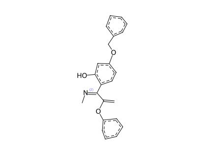 C=C(Oc1ccccc1)/C(=N\C)c1ccc(OCc2ccccc2)cc1O